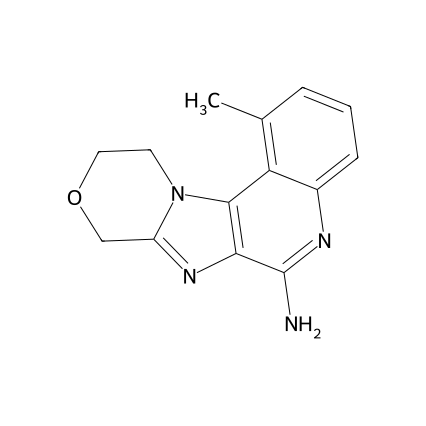 Cc1cccc2nc(N)c3nc4n(c3c12)CCOC4